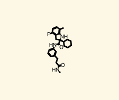 CNC(=O)CCc1cccc(NC(=O)C2(C3CCCCC3)Cc3c(F)ccc(C)c3N2)c1